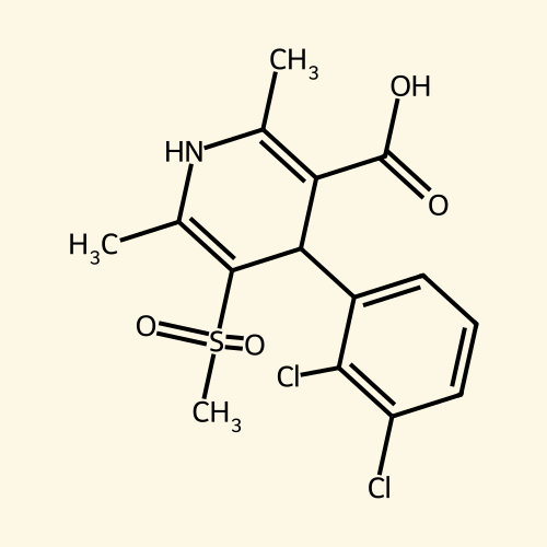 CC1=C(C(=O)O)C(c2cccc(Cl)c2Cl)C(S(C)(=O)=O)=C(C)N1